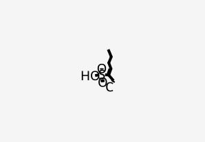 C=C=CC(=CCCC)S(=O)(=O)O